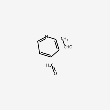 C=O.CC=O.c1ccncc1